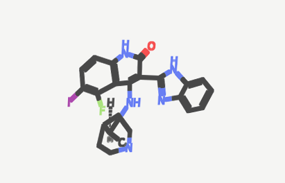 O=c1[nH]c2ccc(I)c(F)c2c(N[C@H]2CN3CCC2CC3)c1-c1nc2ccccc2[nH]1